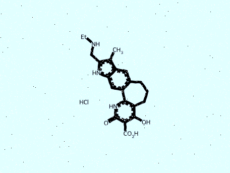 CCNCc1[nH]c2cc3c(cc2c1C)CCCc1c-3[nH]c(=O)c(C(=O)O)c1O.Cl